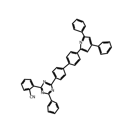 N#Cc1ccccc1-c1nc(-c2ccccc2)nc(-c2ccc(-c3ccc(-c4cc(-c5ccccc5)cc(-c5ccccc5)n4)cc3)cc2)n1